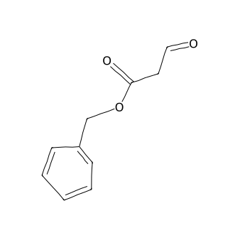 O=CCC(=O)OCc1ccccc1